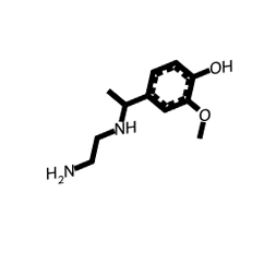 COc1cc(C(C)NCCN)ccc1O